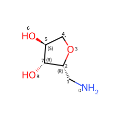 NC[C@H]1O[CH][C@H](O)[C@H]1O